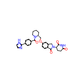 O=C1CCC(N2Cc3cc(OC[C@@H]4CCCCN4C(=O)c4ccc(-c5ncc[nH]5)cc4)ccc3C2=O)C(=O)N1